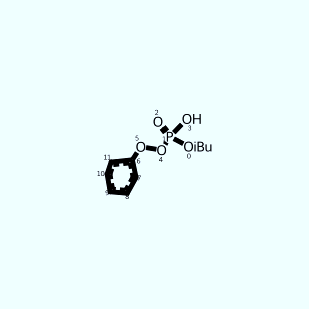 CC(C)COP(=O)(O)OOc1ccccc1